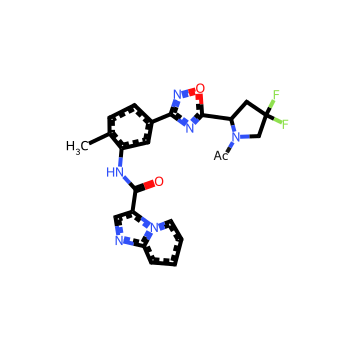 CC(=O)N1CC(F)(F)CC1c1nc(-c2ccc(C)c(NC(=O)c3cnc4ccccn34)c2)no1